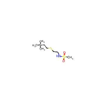 C[Si](C)(C)CCSCCNS(C)(=O)=O